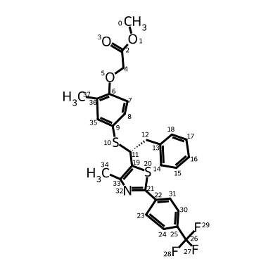 COC(=O)COc1ccc(S[C@H](Cc2ccccc2)c2sc(-c3ccc(C(F)(F)F)cc3)nc2C)cc1C